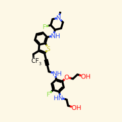 CN1CCC(Nc2cccc3c(CC(F)(F)F)c(C#CCNc4cc(F)c(NCCO)cc4OCCO)sc23)C(F)C1